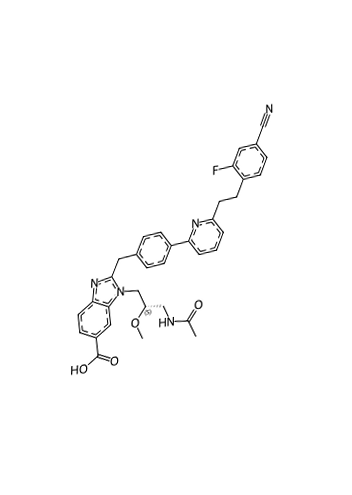 CO[C@@H](CNC(C)=O)Cn1c(Cc2ccc(-c3cccc(CCc4ccc(C#N)cc4F)n3)cc2)nc2ccc(C(=O)O)cc21